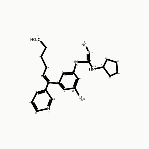 N#C/N=C(\Nc1cc(/C(=C\CCCC(=O)O)c2cccnc2)cc(C(F)(F)F)c1)NC1CCCC1